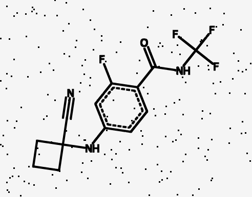 N#CC1(Nc2ccc(C(=O)NC(F)(F)F)c(F)c2)CCC1